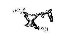 O=C(CCC(=O)C1Cc2ccccc2C#Cc2ccccc21)NCCSC[C@@H]1COCCN(Cc2cccc(C(=O)O)n2)CCOCCOCCN(Cc2cccc(C(=O)O)n2)CCO1